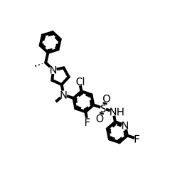 C[C@H](c1ccccc1)N1CCC(N(C)c2cc(F)c(S(=O)(=O)Nc3cccc(F)n3)cc2Cl)C1